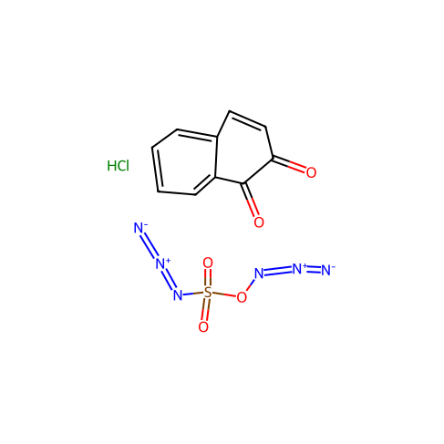 Cl.O=C1C=Cc2ccccc2C1=O.[N-]=[N+]=NOS(=O)(=O)N=[N+]=[N-]